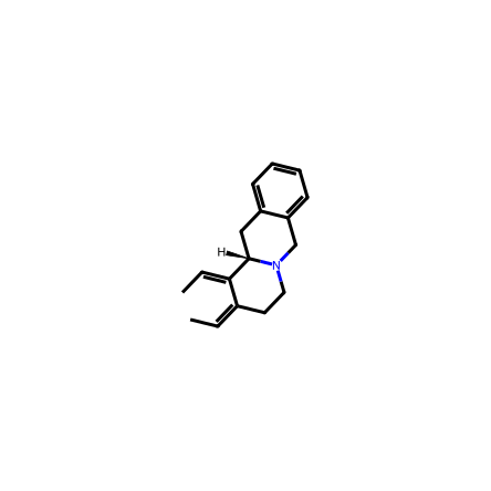 C/C=C1/CCN2Cc3ccccc3C[C@H]2/C1=C/C